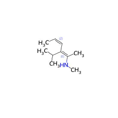 C/C=C\C(=C(/C)NC)C(C)C